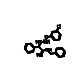 N=C(NCc1ccccc1)C(NNOc1cccc(Cl)c1)c1ccccc1